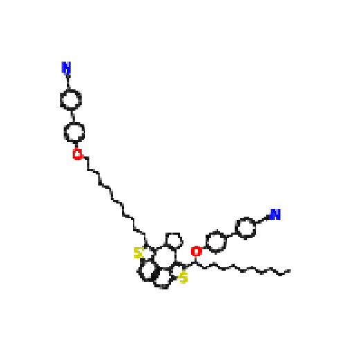 CCCCCCCCCCC(Oc1ccc(-c2ccc(C#N)cc2)cc1)c1sc2ccccc2c1C1=C(c2c(CCCCCCCCCCCOc3ccc(-c4ccc(C#N)cc4)cc3)sc3ccccc23)CCC1